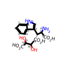 NC(Cc1c[nH]c2ccccc12)C(=O)O.O=C(O)C(O)C(O)C(=O)O